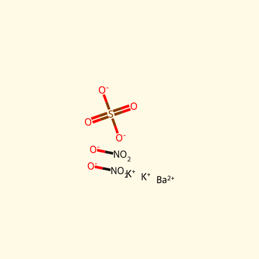 O=S(=O)([O-])[O-].O=[N+]([O-])[O-].O=[N+]([O-])[O-].[Ba+2].[K+].[K+]